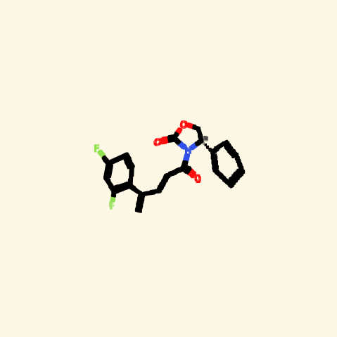 C=C(CCC(=O)N1C(=O)OC[C@@H]1c1ccccc1)c1ccc(F)cc1F